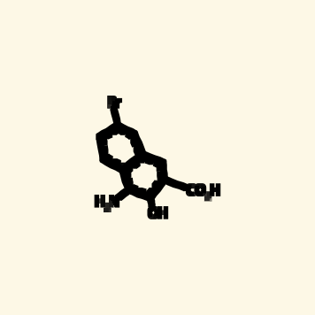 Nc1c(O)c(C(=O)O)cc2cc(Br)ccc12